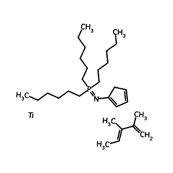 C=C(C)C(C)=CC.CCCCCCP(CCCCCC)(CCCCCC)=NC1=CC=CC1.[Ti]